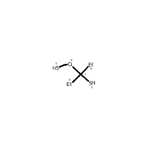 CCC(S)(CC)OS